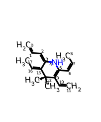 C=C/C=C1/NC(/C=C\C)=C(C=C)C(C)(C)/C1=C/C